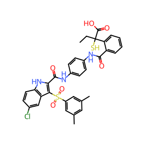 CCC(S)(C(=O)O)c1ccccc1C(=O)Nc1ccc(NC(=O)c2[nH]c3ccc(Cl)cc3c2S(=O)(=O)c2cc(C)cc(C)c2)cc1